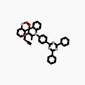 C#C/C=C\C1=C(C)N(c2ccc(-c3nc(-c4ccccc4)nc(-c4ccccc4)n3)cc2)c2ccccc2C12c1ccccc1Oc1ccccc12